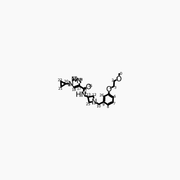 COCCOc1cccc(CN2CC(NC(=O)c3cn(C4CC4)nn3)C2)c1